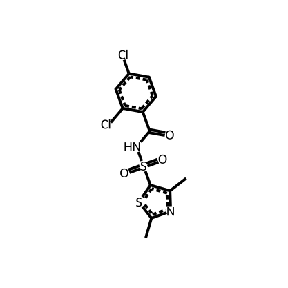 Cc1nc(C)c(S(=O)(=O)NC(=O)c2ccc(Cl)cc2Cl)s1